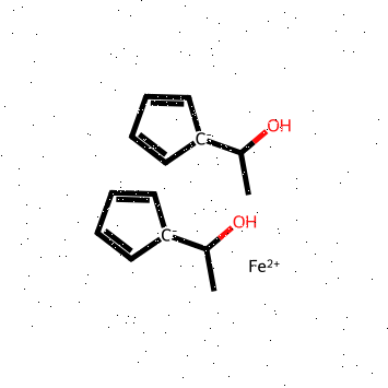 CC(O)[c-]1cccc1.CC(O)[c-]1cccc1.[Fe+2]